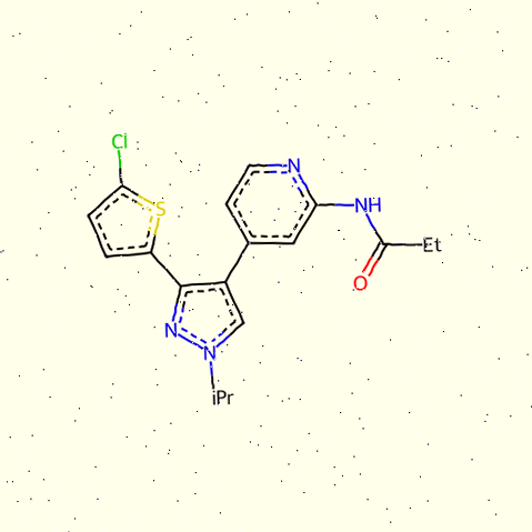 CCC(=O)Nc1cc(-c2cn(C(C)C)nc2-c2ccc(Cl)s2)ccn1